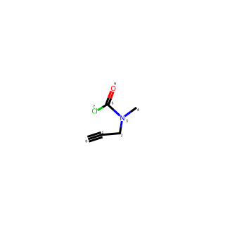 C#CCN(C)C(=O)Cl